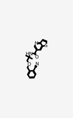 CC(C)(COCc1ccccc1C#N)NC(=O)c1cnc2ccsc2c1